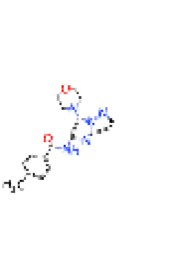 Cc1ccc(C(=O)Nc2cc(N3CCOCC3)n3nccc3n2)cc1